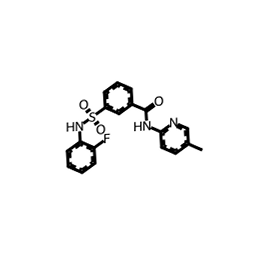 Cc1ccc(NC(=O)c2cccc(S(=O)(=O)Nc3ccccc3F)c2)nc1